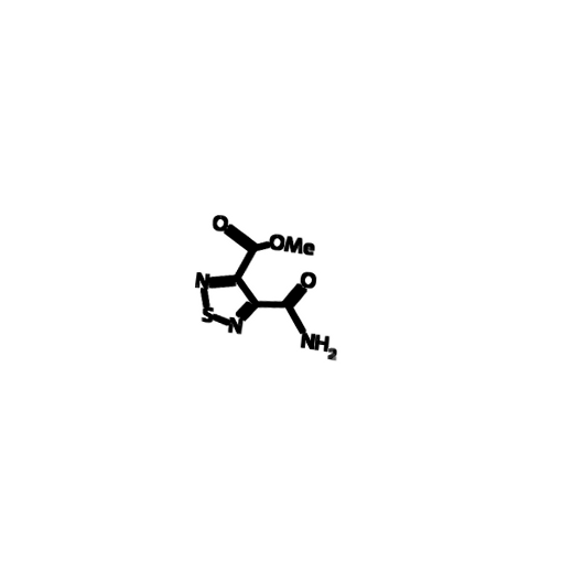 COC(=O)c1nsnc1C(N)=O